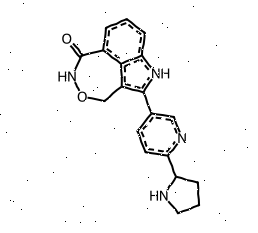 O=C1NOCc2c(-c3ccc(C4CCCN4)nc3)[nH]c3cccc1c23